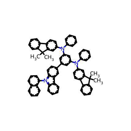 CC1(C)c2ccccc2-c2ccc(N(c3ccccc3)c3cc(-c4ccc5c(c4)c4ccccc4n5-c4cccc5ccccc45)cc(N(c4ccccc4)c4ccc5c(c4)C(C)(C)c4ccccc4-5)c3)cc21